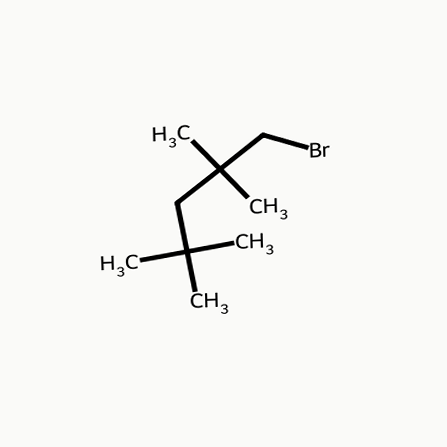 CC(C)(C)CC(C)(C)CBr